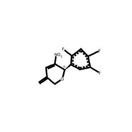 C=C1C=C([N+](=O)[O-])[C@@H](c2cc(F)c(F)cc2F)OC1